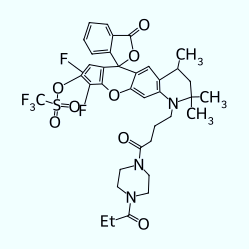 CCC(=O)N1CCN(C(=O)CCCN2c3cc4c(cc3C(C)CC2(C)C)C2(OC(=O)c3ccccc32)c2cc(F)c(OS(=O)(=O)C(F)(F)F)c(F)c2O4)CC1